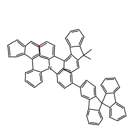 CC1(C)c2ccccc2-c2c(-c3ccccc3N(c3ccc(-c4ccc5c(c4)-c4ccccc4C54c5ccccc5-c5ccccc54)cc3)c3ccccc3-c3cccc4ccccc34)cccc21